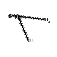 CCCCCCCCC=CCCCCCCCCOCC(COCCCCCCCCC=CCCCCCCCC)OC(=O)NCCN1CCCC1